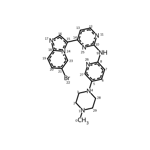 CN1CCN(c2ccc(Nc3nccc(-c4cnc5ccc(Br)cn45)n3)nc2)CC1